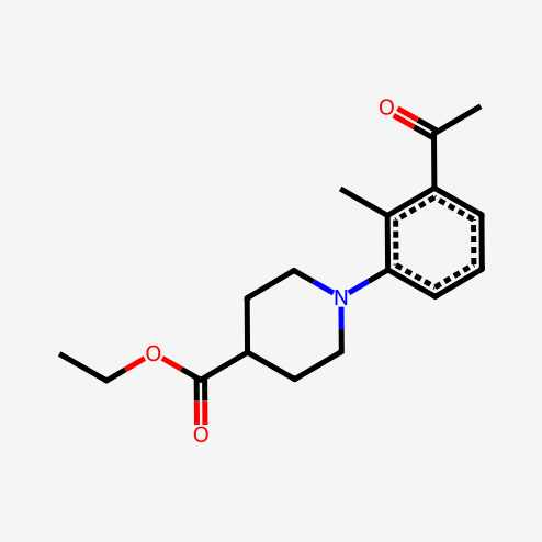 CCOC(=O)C1CCN(c2cccc(C(C)=O)c2C)CC1